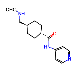 O=CNC[C@H]1CC[C@H](C(=O)Nc2ccncc2)CC1